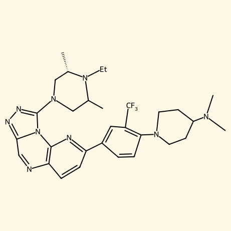 CCN1C(C)CN(c2nnc3cnc4ccc(-c5ccc(N6CCC(N(C)C)CC6)c(C(F)(F)F)c5)nc4n23)C[C@@H]1C